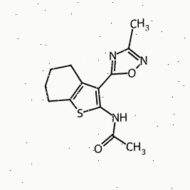 CC(=O)Nc1sc2c(c1-c1nc(C)no1)CCCC2